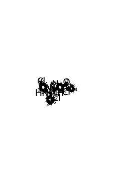 O=C(c1cc2ncnc(NC(c3nc4cc(Cl)ccc4[nH]3)c3ccccc3Cl)c2cc1Cl)N1CCCC1